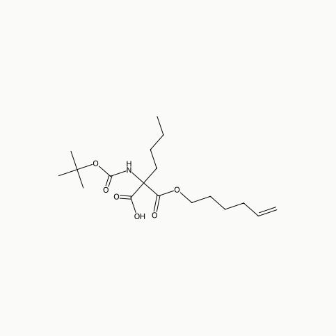 C=CCCCCOC(=O)C(CCCC)(NC(=O)OC(C)(C)C)C(=O)O